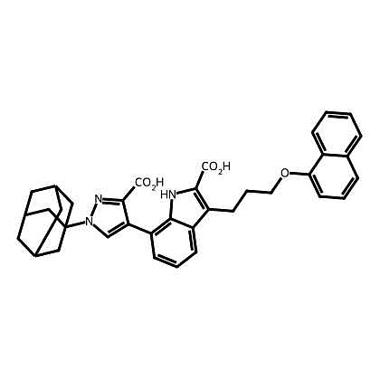 O=C(O)c1nn(C23CC4CC(CC(C4)C2)C3)cc1-c1cccc2c(CCCOc3cccc4ccccc34)c(C(=O)O)[nH]c12